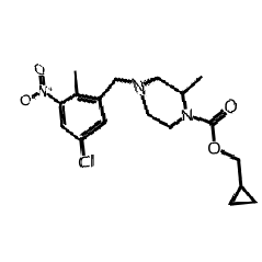 Cc1c(CN2CCN(C(=O)OCC3CC3)C(C)C2)cc(Cl)cc1[N+](=O)[O-]